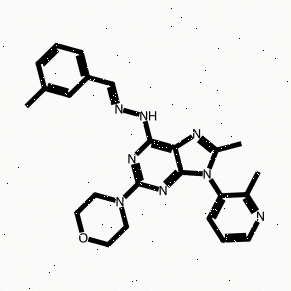 Cc1cccc(/C=N/Nc2nc(N3CCOCC3)nc3c2nc(C)n3-c2cccnc2C)c1